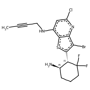 CC#CCNc1cc(Cl)nc2c(Br)c([C@H]3[C@H](N)CCCC3(F)F)sc12